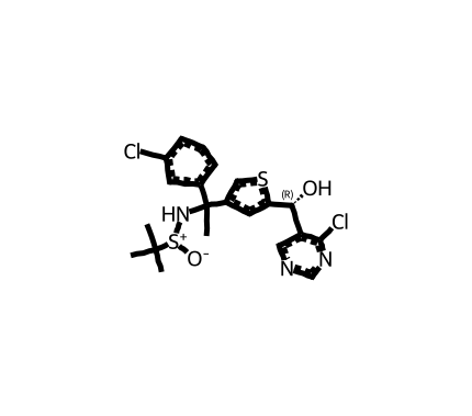 CC(N[S+]([O-])C(C)(C)C)(c1cccc(Cl)c1)c1csc([C@H](O)c2cncnc2Cl)c1